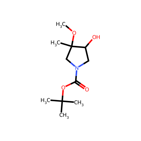 COC1(C)CN(C(=O)OC(C)(C)C)CC1O